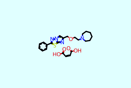 O=C(O)/C=C\C(=O)O.c1ccc(-c2nn3cc(COCCN4CCCCCC4)nc3s2)cc1